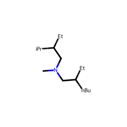 CCCCC(CC)CN(C)CC(CC)C(C)C